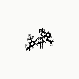 O=C(Cc1cc(C(F)(F)F)cc(C(F)(F)F)c1)NC1N=C(C2CC2)c2ccccc2N(CC(F)(F)F)C1=O